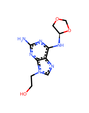 Nc1nc(N[C@H]2COCO2)c2ncn(CCO)c2n1